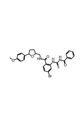 COc1ccc(C2CCC(CNC(=O)c3ccc(Br)cc3NC(=S)NC(=O)c3ccccc3)O2)cc1